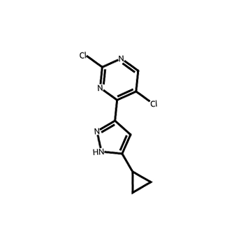 Clc1ncc(Cl)c(-c2cc(C3CC3)[nH]n2)n1